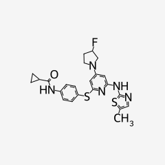 Cc1cnc(Nc2cc(N3CCC(F)C3)cc(Sc3ccc(NC(=O)C4CC4)cc3)n2)s1